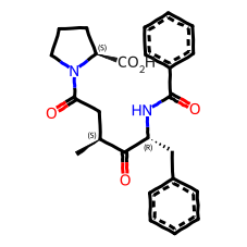 C[C@@H](CC(=O)N1CCC[C@H]1C(=O)O)C(=O)[C@@H](Cc1ccccc1)NC(=O)c1ccccc1